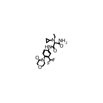 CCN(C1CC1)[C@@H](C(N)=O)C(=O)Nc1ccc(N2CCOCC2=O)c(C(F)F)c1